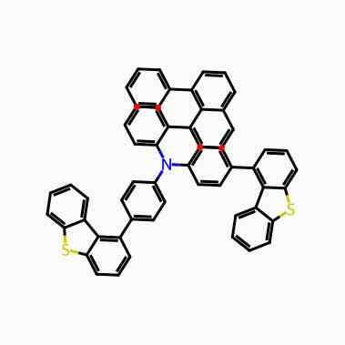 c1ccc(-c2cccc3cccc(-c4ccccc4N(c4ccc(-c5cccc6sc7ccccc7c56)cc4)c4ccc(-c5cccc6sc7ccccc7c56)cc4)c23)cc1